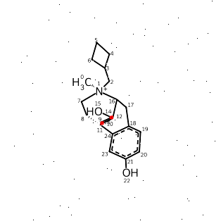 C[N@@+]1(CC2CCC2)CC[C@@]23CCCCC2(O)C1Cc1ccc(O)cc13